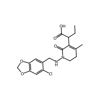 CCC(C(=O)O)C1=C(C)CCN(NCc2cc3c(cc2Cl)OCO3)C1=O